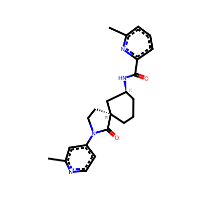 Cc1cc(N2CC[C@]3(CCC[C@H](NC(=O)c4cccc(C)n4)C3)C2=O)ccn1